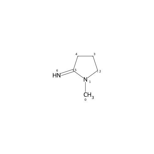 CN1[CH]CCC1=N